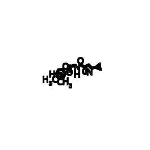 CC1(C)[C@@H]2CC3OB(CNC(=O)C4CC(C5CC5)=NO4)OC3[C@H]1C2